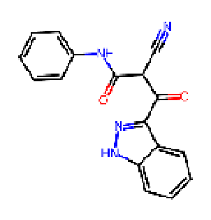 N#CC(C(=O)Nc1ccccc1)C(=O)c1n[nH]c2ccccc12